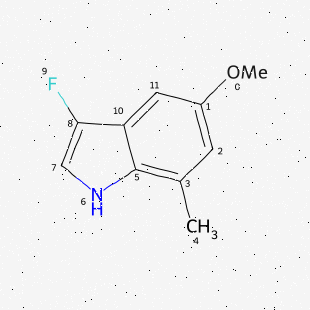 COc1cc(C)c2[nH]cc(F)c2c1